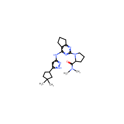 CN(C)C(=O)C1CCCN1c1nc2c(c(Nc3cc(C4CCC(C)(C)C4)[nH]n3)n1)CCC2